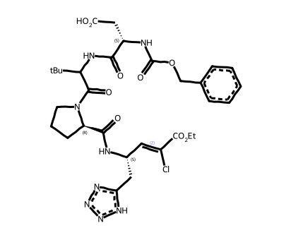 CCOC(=O)/C(Cl)=C/[C@H](Cc1nnn[nH]1)NC(=O)[C@H]1CCCN1C(=O)C(NC(=O)[C@H](CC(=O)O)NC(=O)OCc1ccccc1)C(C)(C)C